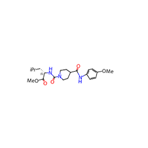 COC(=O)[C@H](CC(C)C)NC(=O)N1CCC(C(=O)Nc2ccc(OC)cc2)CC1